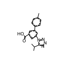 Cc1ccc(-c2cc(C(=O)O)cc(-n3nnnc3C(C)C)c2)cc1